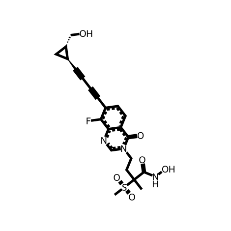 CC(CCn1cnc2c(F)c(C#CC#C[C@H]3C[C@@H]3CO)ccc2c1=O)(C(=O)NO)S(C)(=O)=O